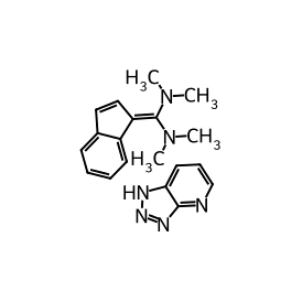 CN(C)C(=C1C=Cc2ccccc21)N(C)C.c1cnc2nn[nH]c2c1